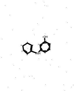 Oc1cccc(NC2=CCCC=C2)c1